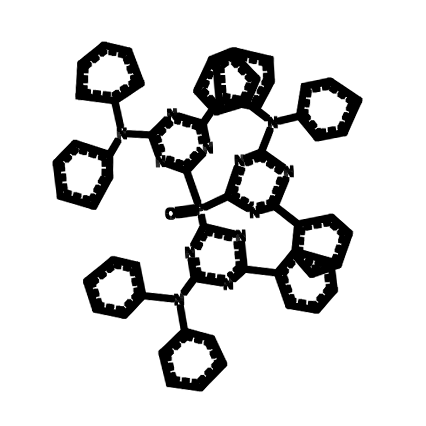 O=P(c1nc(-c2ccccc2)nc(N(c2ccccc2)c2ccccc2)n1)(c1nc(-c2ccccc2)nc(N(c2ccccc2)c2ccccc2)n1)c1nc(-c2ccccc2)nc(N(c2ccccc2)c2ccccc2)n1